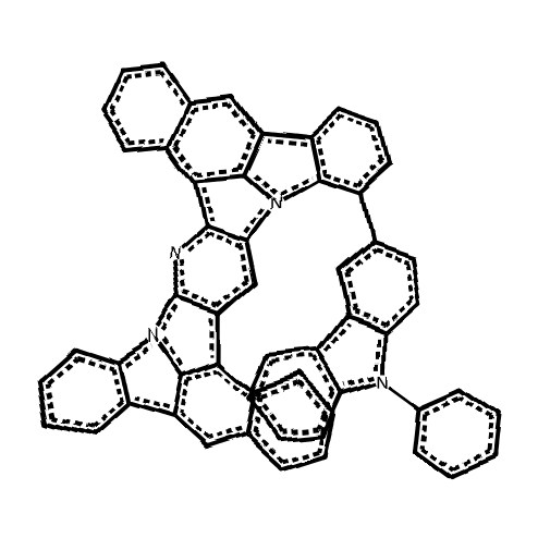 c1ccc(-n2c3ccccc3c3cc(-c4cccc5c6cc7ccccc7c7c8nc9c(cc8n(c45)c67)c4c5ccccc5cc5c6ccccc6n9c54)ccc32)cc1